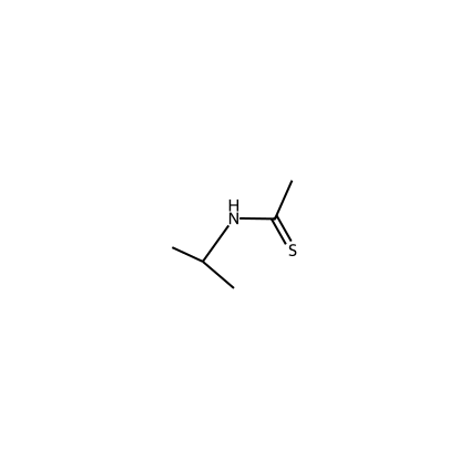 CC(=S)NC(C)C